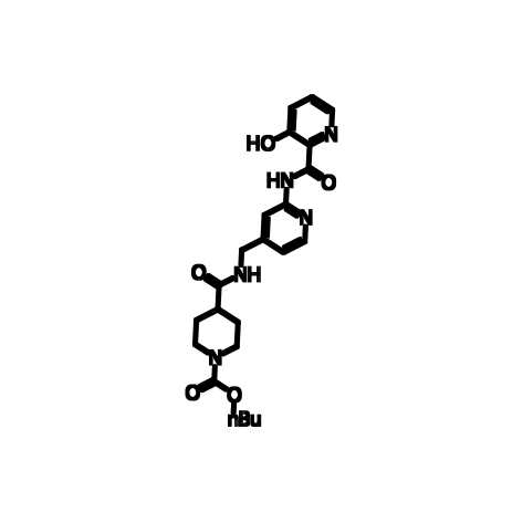 CCCCOC(=O)N1CCC(C(=O)NCc2ccnc(NC(=O)c3ncccc3O)c2)CC1